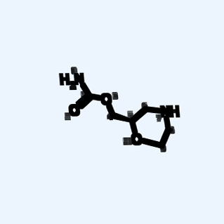 NC(=O)OC[C@H]1CNCCO1